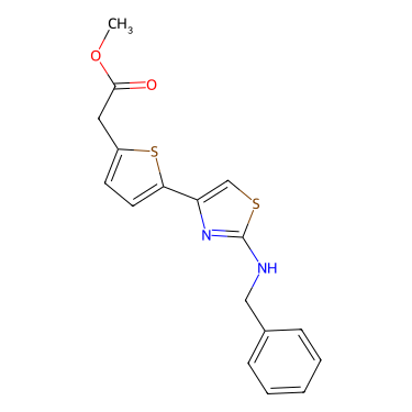 COC(=O)Cc1ccc(-c2csc(NCc3ccccc3)n2)s1